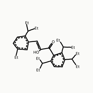 CCc1ccc(C(CC)CC)c(C=C(O)C(=O)c2c(C(CC)CC)ccc(C(CC)CC)c2C(CC)CC)c1